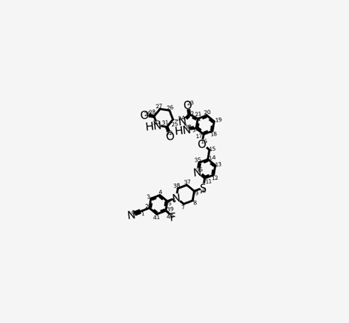 N#Cc1ccc(N2CCC(Sc3ccc(COc4cccc5c(=O)n([C@H]6CCC(=O)NC6=O)[nH]c45)cn3)CC2)c(F)c1